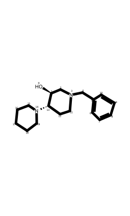 O[C@H]1CN(Cc2ccccc2)CC[C@@H]1N1CCCCC1